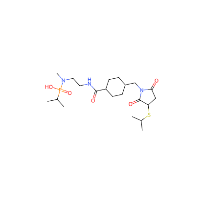 CC(C)SC1CC(=O)N(CC2CCC(C(=O)NCCN(C)P(=O)(O)C(C)C)CC2)C1=O